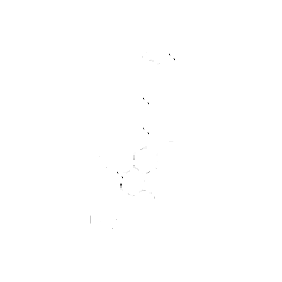 NC(=O)CCN1CCN(c2cc3c(cc2F)c(=O)c(OC(=O)O)cn3C2CC2)CC1